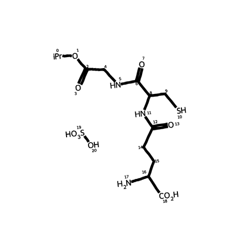 CC(C)OC(=O)CNC(=O)C(CS)NC(=O)CCC(N)C(=O)O.O=S(=O)(O)O